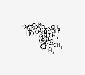 CC(C)OC(=O)C(C)NP(=O)(OCC1OC(n2ccc(=O)[nH]c2=O)C(Cl)(Br)C1OC(=O)CC(C)(C)O)Oc1ccccc1